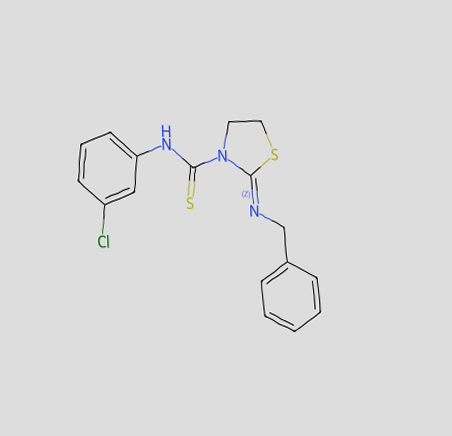 S=C(Nc1cccc(Cl)c1)N1CCS/C1=N\Cc1ccccc1